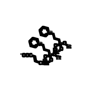 CCO[Si](CCC[n+]1ccccc1)(OCC)OCC.CCO[Si](CCC[n+]1ccccc1)(OCC)OCC.O=C([O-])C=CC(=O)[O-]